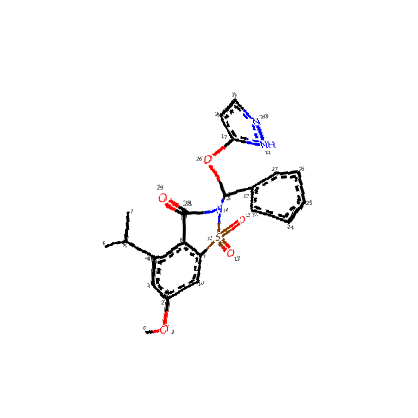 COc1cc(C(C)C)c2c(c1)S(=O)(=O)N(C(Oc1ccn[nH]1)c1ccccc1)C2=O